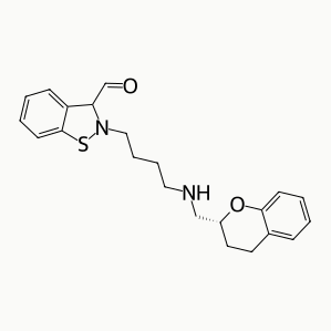 O=CC1c2ccccc2SN1CCCCNC[C@H]1CCc2ccccc2O1